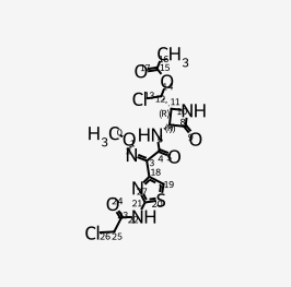 CON=C(C(=O)N[C@H]1C(=O)N[C@H]1C(Cl)OC(C)=O)c1csc(NC(=O)CCl)n1